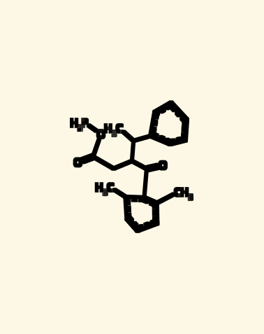 Cc1cccc(C)c1C(=O)C(CC(=O)OP)C(C)c1ccccc1